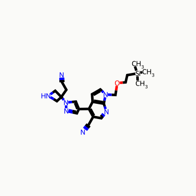 C[Si](C)(C)CCOCn1ccc2c(-c3cnn(C4(CC#N)CNC4)c3)c(C#N)cnc21